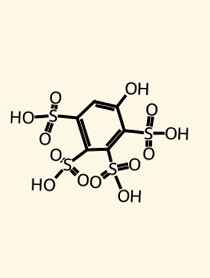 O=S(=O)(O)c1cc(O)c(S(=O)(=O)O)c(S(=O)(=O)O)c1S(=O)(=O)O